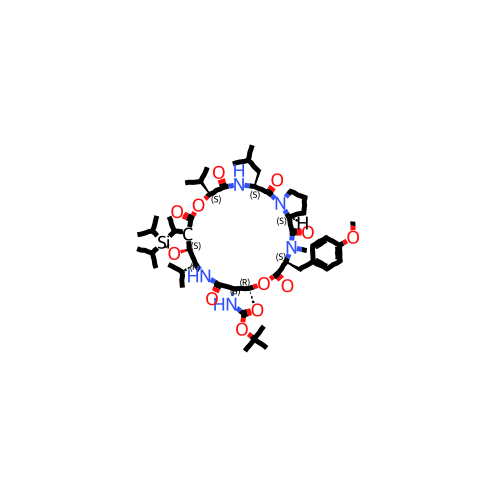 COc1ccc(C[C@H]2C(=O)O[C@H](C)[C@H](NC(=O)OC(C)(C)C)C(=O)N[C@H](C(C)C)[C@@H](O[Si](C(C)C)(C(C)C)C(C)C)CC(=O)O[C@@H](C(C)C)C(=O)N[C@@H](CC(C)C)C(=O)N3CCC[C@H]3C(=O)N2C)cc1